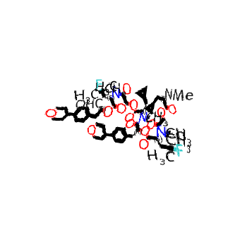 CN[C@@H](CC1CC1)C(=O)OCC(=O)N(C)[C@@H](CC(C)(C)F)C(=O)O[C@H](Cc1ccc(C2CCOCC2)cc1)C(=O)N(C)[C@@H](CC1CC1)C(=O)OCC(=O)N(C)[C@@H](CC(C)(C)F)C(=O)O[C@@H](C=O)Cc1ccc(C2CCOCC2)cc1